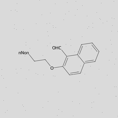 CCCCCCCCCCCOc1ccc2ccccc2c1C=O